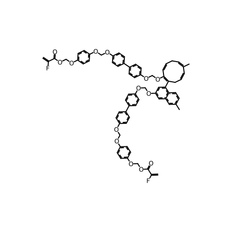 C=C(F)C(=O)OCOc1ccc(OCOc2ccc(-c3ccc(OCOC4=C(\c5cc(OCOc6ccc(-c7ccc(OCOc8ccc(OCOC(=O)C(=C)F)cc8)cc7)cc6)cc6cc(C)ccc56)C/C=C\C(C)=C/C/C=C\4)cc3)cc2)cc1